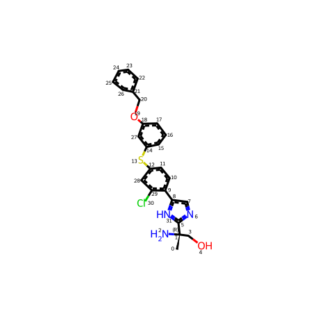 C[C@](N)(CO)c1ncc(-c2ccc(Sc3cccc(OCc4ccccc4)c3)cc2Cl)[nH]1